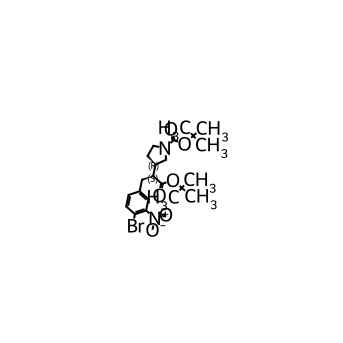 CC(C)(C)OC(=O)[C@@H](Cc1ccc(Br)c([N+](=O)[O-])c1)[C@H]1CCN(C(=O)OC(C)(C)C)C1